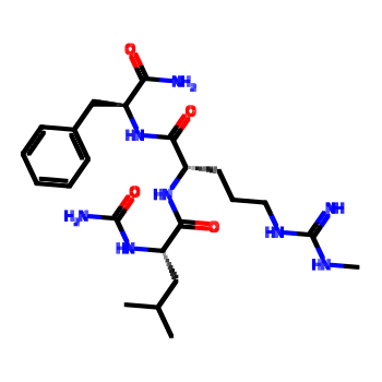 CNC(=N)NCCC[C@H](NC(=O)[C@H](CC(C)C)NC(N)=O)C(=O)N[C@@H](Cc1ccccc1)C(N)=O